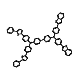 c1ccc(-c2ccc(-c3ccc(N(c4ccc(-c5ccc(N(c6ccc(-c7cc8ccccc8s7)cc6)c6ccc(-c7cc8ccccc8s7)cc6)cc5)cc4)c4ccc(-c5ccc(-c6ccccc6)s5)cc4)cc3)s2)cc1